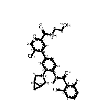 CN(C(=O)c1c(F)cccc1Cl)c1ccc(-c2cc(C(=O)NCCO)ncc2Cl)cc1N1CC2CC2C1